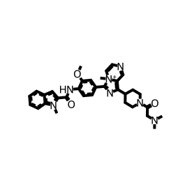 COc1cc(C2=NC(C3CCN(C(=O)CN(C)C)CC3)=C3C=NC=C[N+]23C)ccc1NC(=O)c1cc2ccccc2n1C